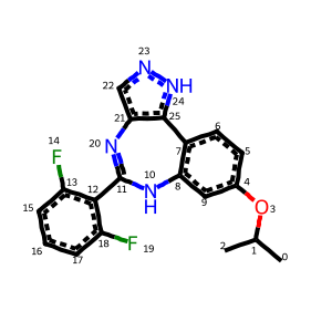 CC(C)Oc1ccc2c(c1)NC(c1c(F)cccc1F)=Nc1cn[nH]c1-2